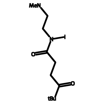 CNCCN(I)C(=O)CCC(=O)C(C)(C)C